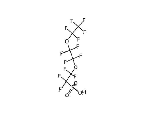 O=S(=O)(O)C(F)(F)C(F)(F)OC(F)(F)C(F)(F)OC(F)(F)C(F)(F)F